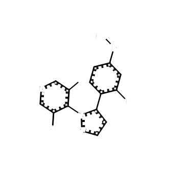 COc1ccc(-c2ccnn2-c2c(Cl)cncc2Cl)c(F)c1